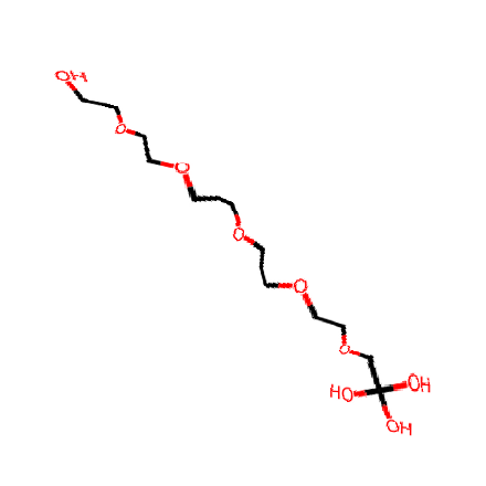 OCCOCCOCCOCCOCCOCC(O)(O)O